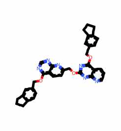 c1cnc2nc(OCc3ccc4c(OCc5ccc6c(c5)CCC6)ncnc4n3)nc(OCc3ccc4c(c3)CCC4)c2c1